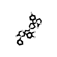 O=C1COC(CCN2CCC(c3ccc(F)cc3)(N3CCCOC3=O)CC2)(c2ccc(Cl)c(Cl)c2)CN1c1ccccc1